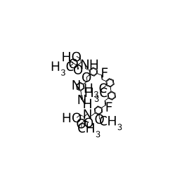 COC(=O)[C@@H](CO)NCc1ccc(/C(F)=C/c2cccc(-c3cccc(/C=C(\F)c4ccc(CN[C@H](CO)C(=O)OC)c(OCc5cncc(C#N)c5)c4)c3C)c2C)cc1OC